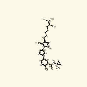 Cn1nc(OCCCCC(F)=C(F)F)c(C(F)(F)F)c1-n1cc(-c2ccc(Cl)c(C(=O)NC3(C#N)CC3)c2)cn1